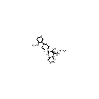 CCOc1ccccc1-c1ccc(-c2nc3ccccc3c(NCC(=O)O)c2C#N)cc1